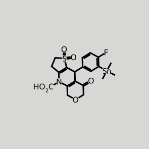 [CH3][Sn]([CH3])([CH3])[c]1cc(C2C3=C(COCC3=O)N(C(=O)O)C3=C2S(=O)(=O)CC3)ccc1F